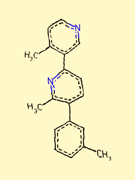 Cc1cccc(-c2ccc(-c3cnccc3C)nc2C)c1